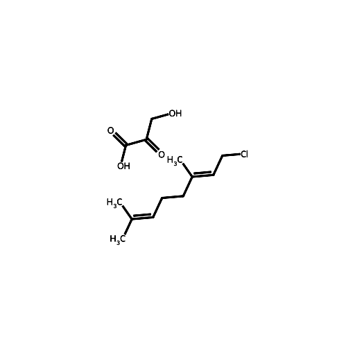 CC(C)=CCC/C(C)=C/CCl.O=C(O)C(=O)CO